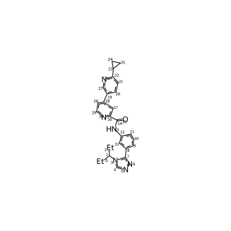 CCC(CC)n1cnnc1-c1cccc(NC(=O)c2cc(-c3ccc(C4CC4)nc3)ccn2)c1